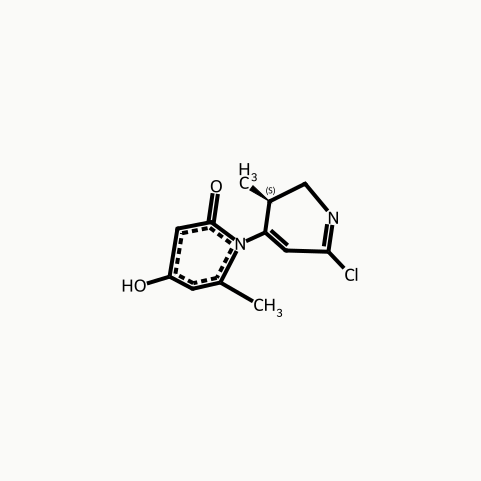 Cc1cc(O)cc(=O)n1C1=CC(Cl)=NC[C@@H]1C